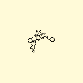 C[C@H](NC(=O)OCc1ccccc1)C(=O)N[C@@H](Cc1ccccc1)C(=O)NCC1CC(Cl)=NO1